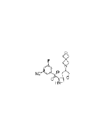 N#Cc1cc(F)cc(S(=O)(=O)C2NCC23CC(N2CC4(COC4)C2)CO3)c1